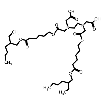 CCCCC(CC)COC(=O)CCCCCOC(=O)CN(CCN(CC(=O)O)CC(=O)OCCCCCC(=O)OCC(CC)CCCC)CC(=O)O